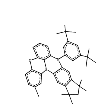 Cc1ccc2c(c1)B1c3cc4c(cc3N(c3cc(C(C)(C)C)cc(C(C)(C)C)c3)c3cccc(c31)O2)C(C)(C)CC4(C)C